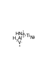 [AlH3].[NaH].[Ni].[Ti].[V]